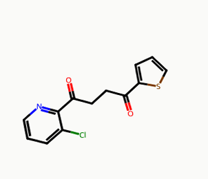 O=C(CCC(=O)c1ncccc1Cl)c1cccs1